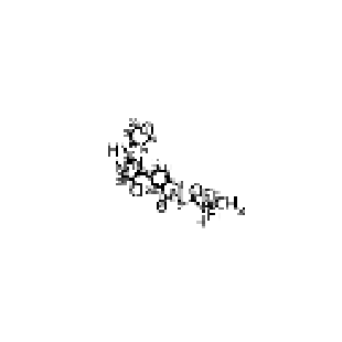 CCC(C)(CC)NC(=O)CN1Cc2ccc(-c3nc(NC4CCOCC4)ncc3Cl)cc2C1=O